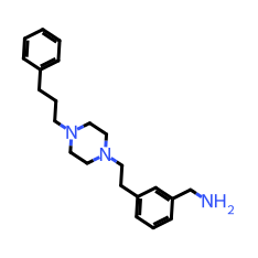 NCc1cccc(CCN2CCN(CCCc3ccccc3)CC2)c1